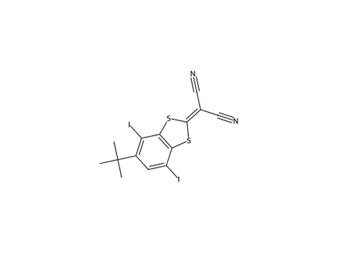 CC(C)(C)c1cc(I)c2c(c1I)SC(=C(C#N)C#N)S2